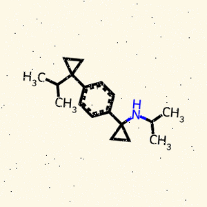 CC(C)NC1(c2ccc(C3(C(C)C)CC3)cc2)CC1